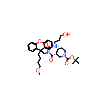 COCCCCC1(CN(C(=O)NCCCO)C(=O)[C@@H]2CCCN(C(=O)OC(C)(C)C)C2)c2ccccc2Oc2ccccc21